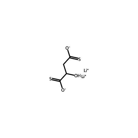 [Li+].[Li+].[O-]C(=S)CC(O)C([O-])=S